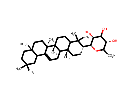 CC1(C)CC[C@]2(C(=O)O)CC[C@]3(C)C(=CCC4[C@@]5(C)CC[C@@H]([C@@H]6OC(C(=O)O)[C@@H](O)C(O)[C@@H]6O)C(C)(C)C5CC[C@]43C)C2C1